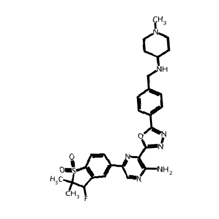 CN1CCC(NCc2ccc(-c3nnc(-c4nc(-c5ccc6c(c5)C(F)C(C)(C)S6(=O)=O)cnc4N)o3)cc2)CC1